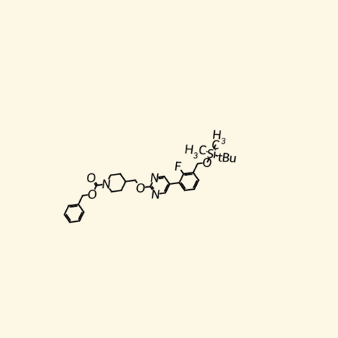 CC(C)(C)[Si](C)(C)OCc1cccc(-c2cnc(OCC3CCN(C(=O)OCc4ccccc4)CC3)nc2)c1F